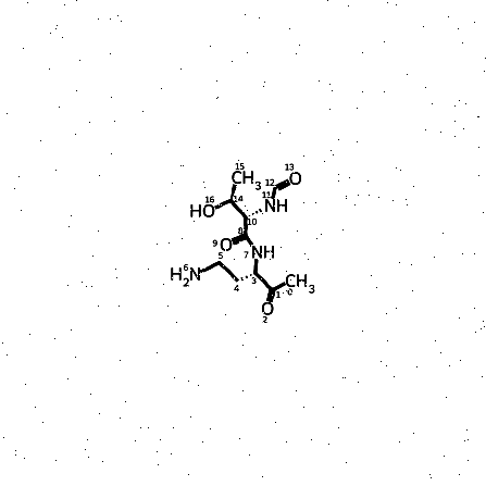 CC(=O)[C@H](CCN)NC(=O)[C@@H](NC=O)[C@H](C)O